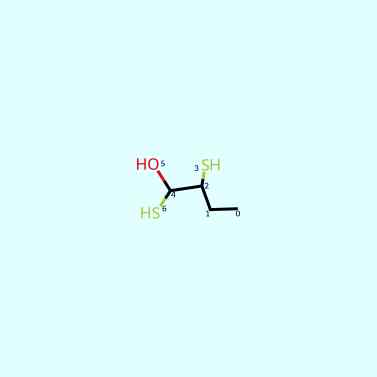 CCC(S)C(O)S